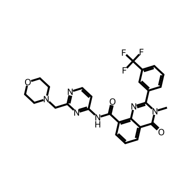 Cn1c(-c2cccc(C(F)(F)F)c2)nc2c(C(=O)Nc3ccnc(CN4CCOCC4)n3)cccc2c1=O